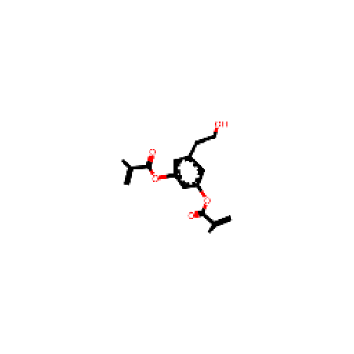 C=C(C)C(=O)Oc1cc(CCO)cc(OC(=O)C(=C)C)c1